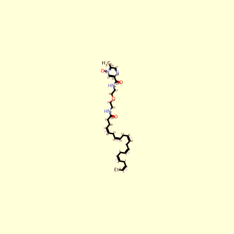 CC/C=C\C/C=C\C/C=C\C/C=C\C/C=C\C/C=C\CCC(=O)NCCOCCNC(=O)c1c[n+]([O-])c(C)cn1